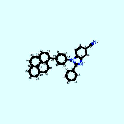 N#CC1C=Cc2c(nc(-c3ccccc3)n2-c2ccc(-c3ccc4ccc5cccc6ccc3c4c56)cc2)C1